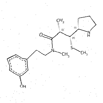 CS[C@@H]([C@@H]1CCCN1)[C@@H](C)C(=O)N(C)CCc1cccc(O)c1